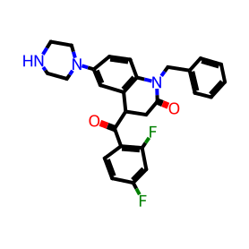 O=C(c1ccc(F)cc1F)C1CC(=O)N(Cc2ccccc2)c2ccc(N3CCNCC3)cc21